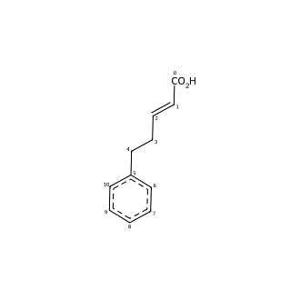 O=C(O)/C=C/CCc1ccccc1